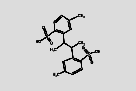 Cc1ccc(S(=O)(=O)O)c(C(C)C(C)c2cc(C)ccc2S(=O)(=O)O)c1